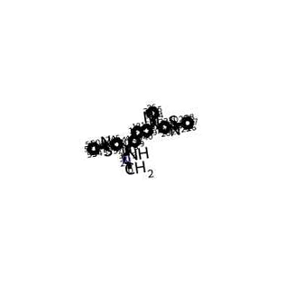 C=C/C=C\C(=N)N(c1ccc2c(ccc3cc(N(c4ccc5nc(-c6ccccc6)sc5c4)c4ccccn4)ccc32)c1)c1ccc2nc(-c3ccccc3)sc2c1